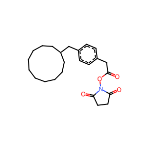 O=C(Cc1ccc(CC2CCCCCCCCCC2)cc1)ON1C(=O)CCC1=O